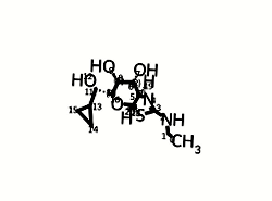 CCNC1=N[C@@H]2[C@@H](O)[C@H](O)[C@@H](C(O)C3CC3)O[C@@H]2S1